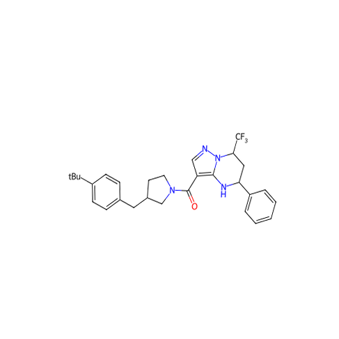 CC(C)(C)c1ccc(CC2CCN(C(=O)c3cnn4c3NC(c3ccccc3)CC4C(F)(F)F)C2)cc1